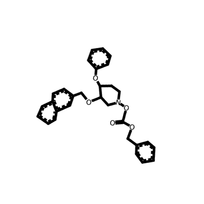 O=C(OCc1ccccc1)ON1CCC(Oc2ccccc2)C(OCc2ccc3ccccc3c2)C1